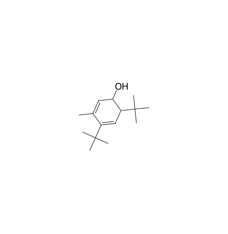 CC1=CC(O)C(C(C)(C)C)C=C1C(C)(C)C